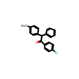 COc1ccc(C(C(=O)c2ccc(Cl)cc2)c2ccccc2)cc1